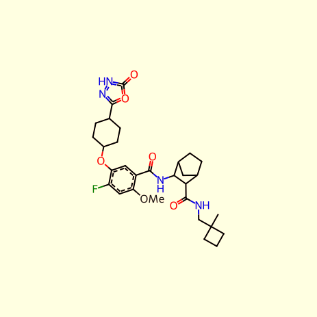 COc1cc(F)c(OC2CCC(c3n[nH]c(=O)o3)CC2)cc1C(=O)NC1C2CCC(C2)C1C(=O)NCC1(C)CCC1